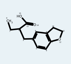 CCC(Cc1ccc2c(c1)CCO2)C(=O)O